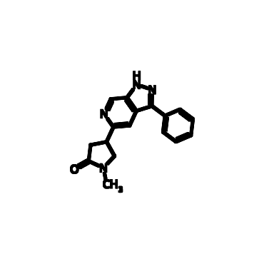 CN1CC(c2cc3c(-c4ccccc4)n[nH]c3cn2)CC1=O